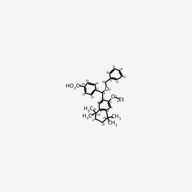 CCOc1cc2c(cc1C(OCc1ccccc1)c1ccc(C(=O)O)cc1)C(C)(C)CCC2(C)C